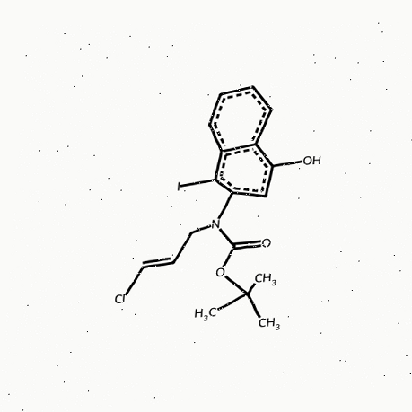 CC(C)(C)OC(=O)N(CC=CCl)c1cc(O)c2ccccc2c1I